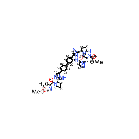 COO/C=N\[C@@H](C)C(=O)N1CCC[C@H]1c1ncc(-c2ccc(-c3ccc(-c4cnc([C@@H]5CCCN5C(=O)[C@@H](Cn5cccn5)NC(=O)OC)[nH]4)cc3)cc2)[nH]1